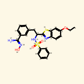 CCOc1ccc2nc(C(Cc3cccc(C(N)=NO)c3)NS(=O)(=O)c3ccccc3)sc2c1